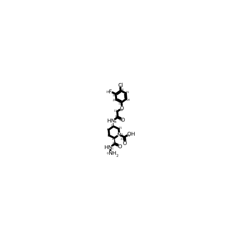 NNC(=O)[C@H]1CC[C@H](NC(=O)COc2ccc(Cl)c(F)c2)CN1C(=O)O